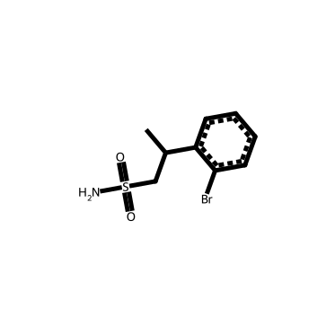 CC(CS(N)(=O)=O)c1ccccc1Br